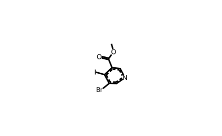 COC(=O)c1cncc(Br)c1I